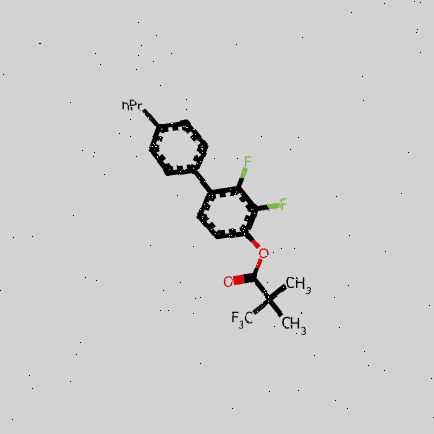 CCCc1ccc(-c2ccc(OC(=O)C(C)(C)C(F)(F)F)c(F)c2F)cc1